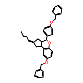 CCCC=C1CC2c3cc(OCc4ccccc4)ccc3OC(c3ccc(OCc4ccccc4)cc3)C2C1